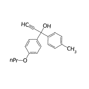 C#CC(O)(c1ccc(C)cc1)c1ccc(OCCC)cc1